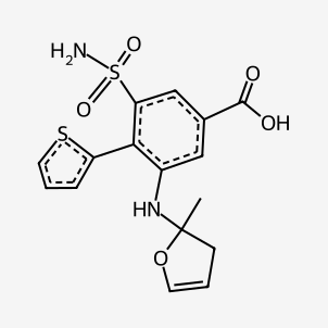 CC1(Nc2cc(C(=O)O)cc(S(N)(=O)=O)c2-c2cccs2)CC=CO1